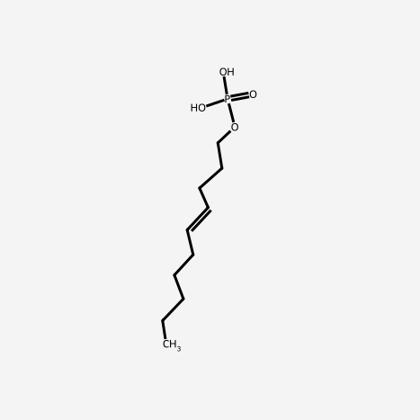 CCCCCC=CCCCOP(=O)(O)O